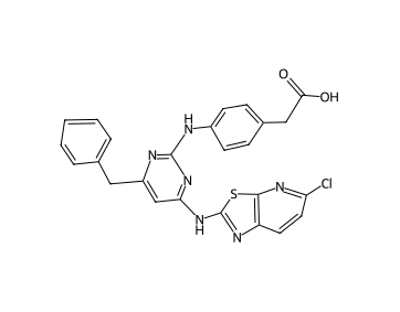 O=C(O)Cc1ccc(Nc2nc(Cc3ccccc3)cc(Nc3nc4ccc(Cl)nc4s3)n2)cc1